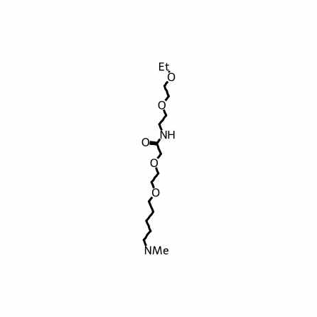 CCOCCOCCNC(=O)COCCOCCCCCNC